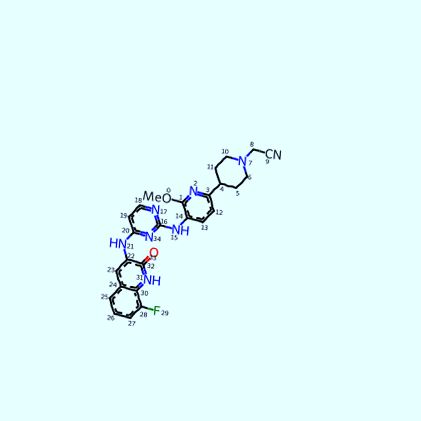 COc1nc(C2CCN(CC#N)CC2)ccc1Nc1nccc(Nc2cc3cccc(F)c3[nH]c2=O)n1